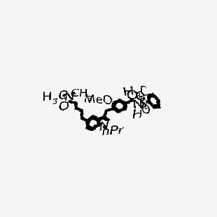 CCCn1cc(Cc2ccc(C(=O)NS(=O)(=O)c3ccccc3C)cc2OC)c2cc(CCCCC(=O)N(C)C)ccc21